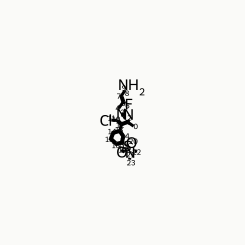 Cc1nn(C/C(F)=C/CN)c(Cl)c1-c1cccc(S(=O)(=O)N(C)C)c1